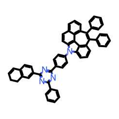 C1=Cc2ccc(-c3nc(-c4ccccc4)nc(-c4ccc(-n5c6cccc7c6c6c8c(cccc8ccc65)C(c5ccccc5)=C7c5ccccc5)cc4)n3)cc2CC1